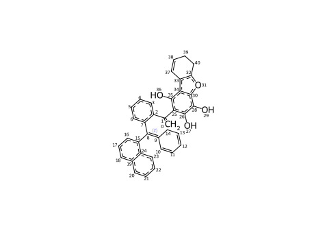 C=C(c1ccccc1/C(=C1/C=CC=CC1)c1cccc2ccccc12)c1c(O)c(O)c2oc3c(c2c1O)C=CCC3